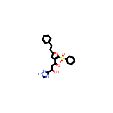 O=C(C=C(O)c1nc[nH]n1)c1cc(CCc2ccccc2)oc1S(=O)(=O)c1ccccc1